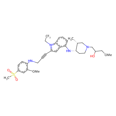 COCC(O)CN1CC[C@H](Nc2cccc3c2cc(C#CCNc2ccc(S(C)(=O)=O)cc2OC)n3CC(F)(F)F)[C@H](C)C1